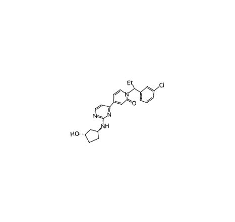 CCC(c1cccc(Cl)c1)n1ccc(-c2ccnc(N[C@H]3CC[C@H](O)C3)n2)cc1=O